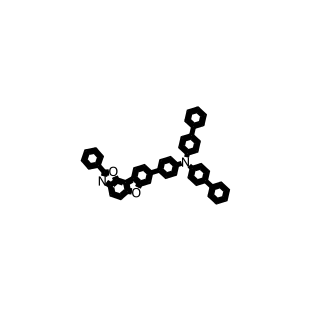 c1ccc(-c2ccc(N(c3ccc(-c4ccccc4)cc3)c3ccc(-c4ccc5c(c4)oc4ccc6nc(-c7ccccc7)oc6c45)cc3)cc2)cc1